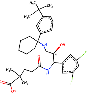 CC(C)(CCC(=O)NC(c1cc(F)cc(F)c1)[C@H](O)CNC1(c2cccc(C(C)(C)C)c2)CCCCC1)C(=O)O